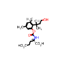 Cc1cc(C)c(C(C)(C)CCO)c(OC(=O)N[C@@H](CCC(=O)O)C(=O)O)c1